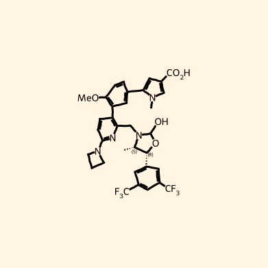 COc1ccc(-c2cc(C(=O)O)cn2C)cc1-c1ccc(N2CCC2)nc1CN1C(O)O[C@H](c2cc(C(F)(F)F)cc(C(F)(F)F)c2)[C@@H]1C